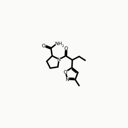 CCC(C(=O)N1CCCC1C(N)=O)c1cc(C)no1